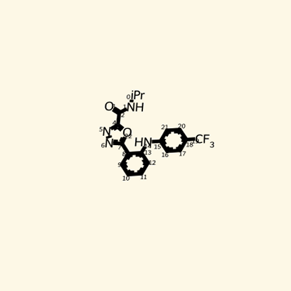 CC(C)NC(=O)c1nnc(-c2ccccc2Nc2ccc(C(F)(F)F)cc2)o1